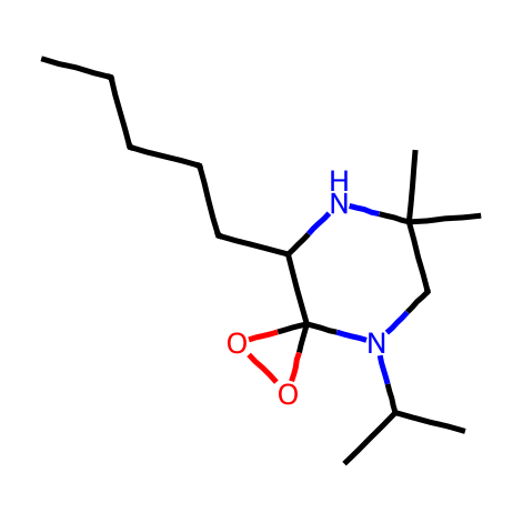 CCCCCC1NC(C)(C)CN(C(C)C)C12OO2